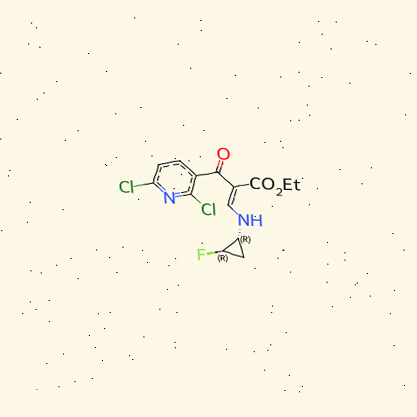 CCOC(=O)C(=CN[C@@H]1C[C@H]1F)C(=O)c1ccc(Cl)nc1Cl